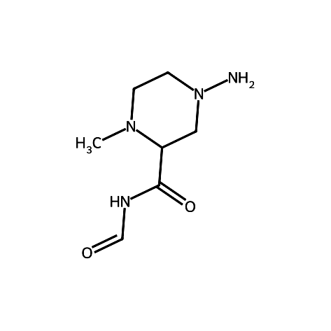 CN1CCN(N)CC1C(=O)NC=O